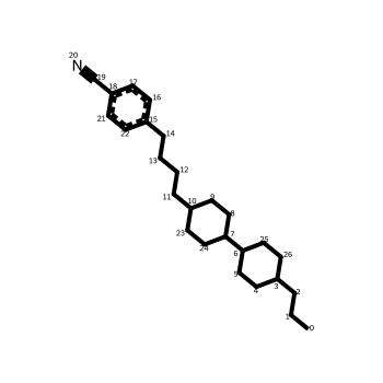 CCCC1CCC(C2CCC(CCCCc3ccc(C#N)cc3)CC2)CC1